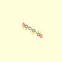 CCOc1ccc(CCc2ccc(C3CC=C(c4ccc(OCC)c(F)c4F)CC3)c(F)c2F)c(F)c1F